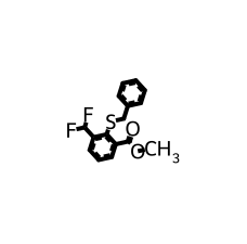 COC(=O)c1cccc(C(F)F)c1SCc1ccccc1